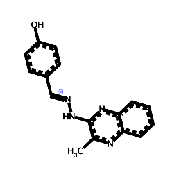 Cc1nc2ccccc2nc1N/N=C/c1ccc(O)cc1